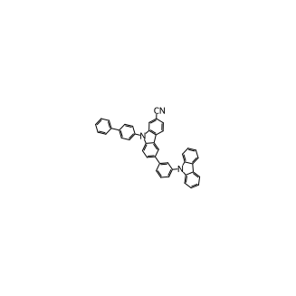 N#Cc1ccc2c3cc(-c4cccc(-n5c6ccccc6c6ccccc65)c4)ccc3n(-c3ccc(-c4ccccc4)cc3)c2c1